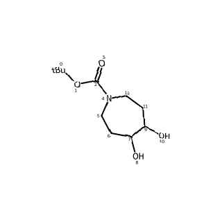 CC(C)(C)OC(=O)N1CCC(O)C(O)CC1